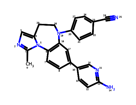 Cc1ncc2n1-c1ccc(-c3ccc(N)nc3)cc1N(c1ccc(C#N)cc1)CC2